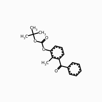 Cc1c(OC(=O)OC(C)(C)C)cccc1C(=O)c1ccccc1